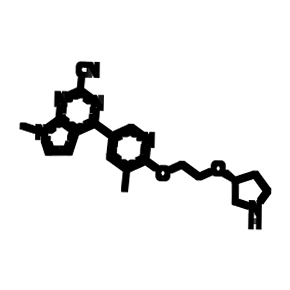 Cc1cc(-c2nc(C#N)nc3c2ccn3C)cnc1OCCO[C@H]1CCNC1